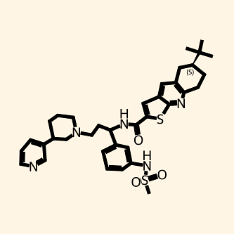 CC(C)(C)[C@H]1CCc2nc3sc(C(=O)NC(CCN4CCCC(c5cccnc5)C4)c4cccc(NS(C)(=O)=O)c4)cc3cc2C1